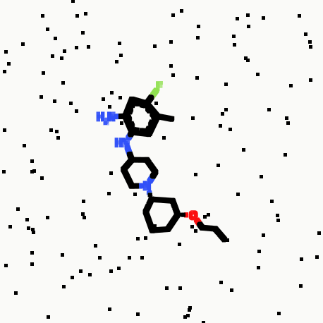 CCCO[C@@H]1CCC[C@H](N2CCC(Nc3cc(C)c(F)cc3N)CC2)C1